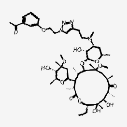 CC[C@H]1OC(=O)[C@H](C)[C@@H](C2C[C@@](C)(OC)[C@@H](O)[C@H](C)O2)[C@H](C)[C@@H](O[C@@H]2O[C@H](C)C[C@H](N(C)CCc3cn(CCOc4cccc(C(C)=O)c4)nn3)[C@H]2O)[C@](C)(OC)C[C@@H](C)C(=O)[C@H](C)[C@@H](O)[C@]1(C)O